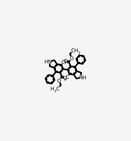 CCOC(=O)c1c(-c2c(C)c3c(c(-c4ccccc4)c2C(=O)OCC)CNC3)c(C)c2c(c1-c1ccccc1)CNC2